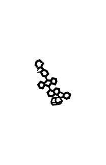 c1ccc2c(c1)-c1ccc3c(-c4c5ccccc5c(-c5ccc6c(c5)sc5ccccc56)c5ccccc45)cccc3c1C21C2CC3CC(C2)CC1C3